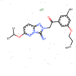 CCC(CC)Oc1ccc2nn(CC(=O)c3cc(OCCOC)cc(C(C)(C)C)c3)c(=N)n2n1.Cl